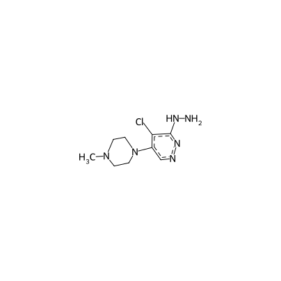 CN1CCN(c2cnnc(NN)c2Cl)CC1